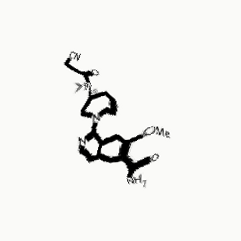 COc1cc2c(N3CCC[C@H](NC(=O)CC#N)C3)nccc2cc1C(N)=O